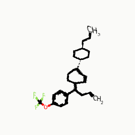 C=CCC(c1ccc(OC(F)(F)F)cc1)C1CCC([C@H]2CC[C@H](CCC)CC2)CC1